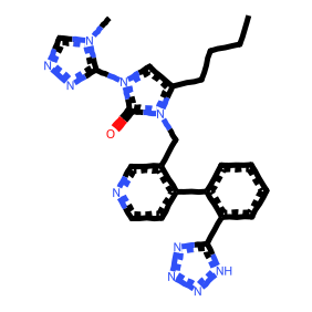 CCCCc1cn(-c2nncn2C)c(=O)n1Cc1cnccc1-c1ccccc1-c1nnn[nH]1